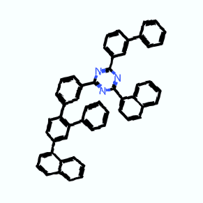 c1ccc(-c2cccc(-c3nc(-c4cccc(-c5ccc(-c6cccc7ccccc67)cc5-c5ccccc5)c4)nc(-c4cccc5ccccc45)n3)c2)cc1